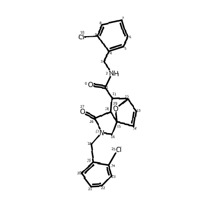 O=C(NCc1ccccc1Cl)C1C2C=CC3(CN(Cc4ccccc4Cl)C(=O)C13)O2